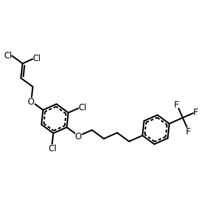 FC(F)(F)c1ccc(CCCCOc2c(Cl)cc(OCC=C(Cl)Cl)cc2Cl)cc1